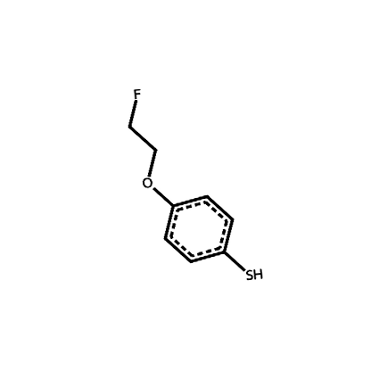 FCCOc1ccc(S)cc1